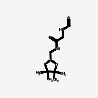 CC1(C)OB(CNC(=O)CNC=O)OC1(C)C